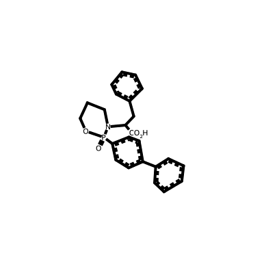 O=C(O)C(Cc1ccccc1)N1CCCOP1(=O)c1ccc(-c2ccccc2)cc1